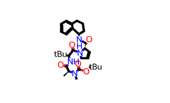 C[C@@H](C(=O)NC(C(=O)N1CC=C[C@H]1C(=O)N[C@@H]1CCCc2ccccc21)C(C)(C)C)N(C)C(=O)OC(C)(C)C